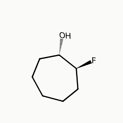 O[C@H]1CCCCC[C@@H]1F